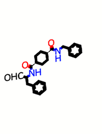 O=CC(Cc1ccccc1)NC(=O)[C@H]1CC[C@@H](C(=O)NCc2ccccc2)CC1